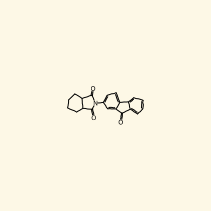 O=C1c2ccccc2-c2ccc(N3C(=O)C4CCCCC4C3=O)cc21